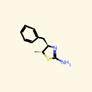 C[C@H]1SC(N)=N[C@@H]1Cc1ccccc1